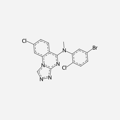 CN(c1cc(Br)ccc1Cl)c1nc2nncn2c2cc(Cl)ccc12